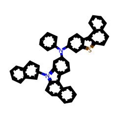 c1ccc(N(c2ccc3c(c2)sc2ccc4ccccc4c23)c2ccc3c4c5ccccc5ccc4n(-c4ccc5ccccc5c4)c3c2)cc1